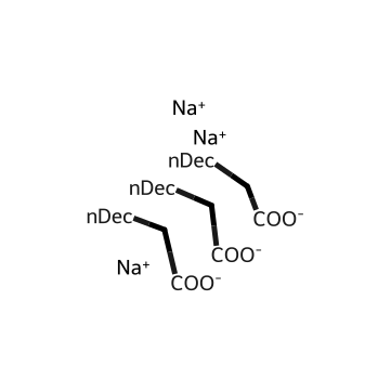 CCCCCCCCCCCC(=O)[O-].CCCCCCCCCCCC(=O)[O-].CCCCCCCCCCCC(=O)[O-].[Na+].[Na+].[Na+]